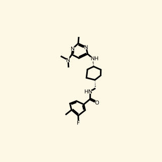 Cc1nc(N[C@H]2CC[C@@H](CNC(=O)c3ccc(C)c(F)c3)CC2)cc(N(C)C)n1